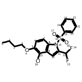 CCCCOc1ccc2c(cc(C(F)F)n2S(=O)(=O)c2ccccc2)c1Cl